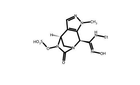 CCN/C(=N\O)[C@@H]1c2c(cnn2C)[C@H]2CN1C(=O)N2OS(=O)(=O)O